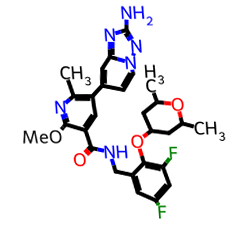 COc1nc(C)c(-c2ccn3nc(N)nc3c2)cc1C(=O)NCc1cc(F)cc(F)c1OC1CC(C)OC(C)C1